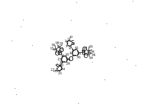 Cc1ccc(-c2cc(Oc3cc(B4OC(C)(C)C(C)(C)O4)cc(-c4ccc(C)s4)c3)cc(B3OC(C)(C)C(C)(C)O3)c2)s1